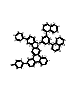 Cc1ccc(-c2ccc3c4ccccc4c4cc5c(cc4c3c2)c2cc(-c3ccccc3)ccc2n5-c2cc(-c3cccc4ccccc34)nc(-c3cccc4ccccc34)c2)cc1